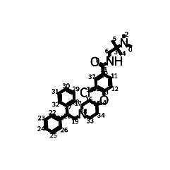 CN(C)C(C)(C)CNC(=O)c1ccc(OC2CCN(CC(c3ccccc3)c3ccccc3)CC2)c(Cl)c1